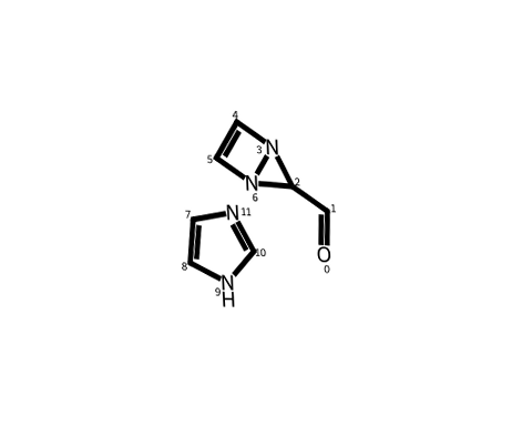 O=CC1n2ccn21.c1c[nH]cn1